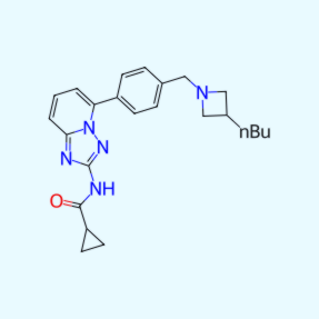 CCCCC1CN(Cc2ccc(-c3cccc4nc(NC(=O)C5CC5)nn34)cc2)C1